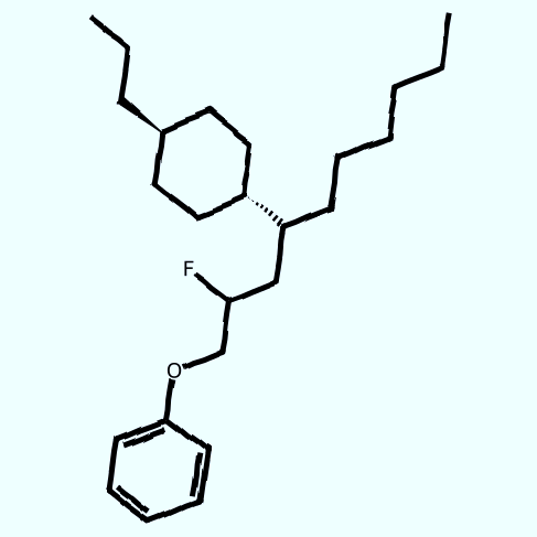 CCCCCCC(CC(F)COc1ccccc1)[C@H]1CC[C@H](CCC)CC1